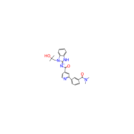 CN(C)C(=O)c1cccc(-c2cc(C(=O)/N=c3\[nH]c4ccccc4n3CC(C)(C)O)ccn2)c1